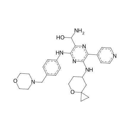 NC(O)c1nc(-c2ccncc2)c(NC2CCOC3(CC3)C2)nc1Nc1ccc(CN2CCOCC2)cc1